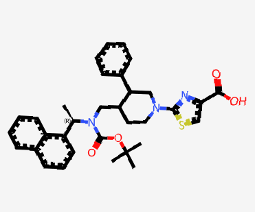 C[C@H](c1cccc2ccccc12)N(CC1CCN(c2nc(C(=O)O)cs2)CC1c1ccccc1)C(=O)OC(C)(C)C